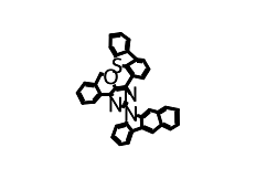 c1ccc2c(c1)COc1c-2nc(-n2c3ccccc3c3cc4ccccc4cc32)nc1-c1cccc2c1sc1ccccc12